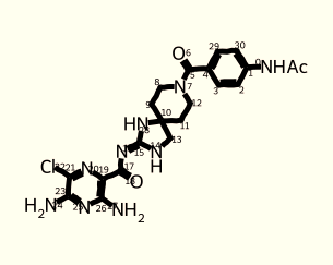 CC(=O)Nc1ccc(C(=O)N2CCC3(CC2)CN/C(=N\C(=O)c2nc(Cl)c(N)nc2N)N3)cc1